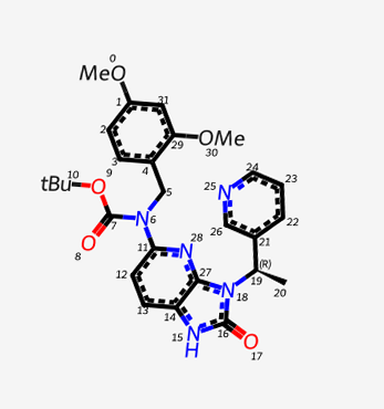 COc1ccc(CN(C(=O)OC(C)(C)C)c2ccc3[nH]c(=O)n([C@H](C)c4cccnc4)c3n2)c(OC)c1